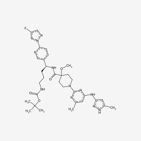 COC1(C(=O)N[C@@H](CCCNC(=O)OC(C)(C)C)c2ccc(-n3cc(F)cn3)nc2)CCN(c2nc(C)cc(Nc3cc(C)[nH]n3)n2)CC1